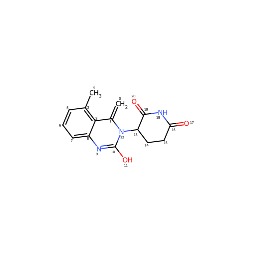 C=C1c2c(C)cccc2N=C(O)N1C1CCC(=O)NC1=O